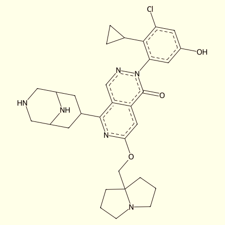 O=c1c2cc(OCC34CCCN3CCC4)nc(C3CC4CNCC(C3)N4)c2cnn1-c1cc(O)cc(Cl)c1C1CC1